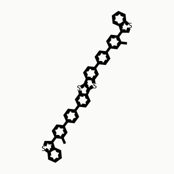 Cc1cc(-c2ccc(-c3ccc4c(c3)sc3c5ccc(-c6ccc(-c7ccc(-c8csc9ccccc89)c(C)c7)cc6)cc5sc43)cc2)ccc1-c1csc2ccccc12